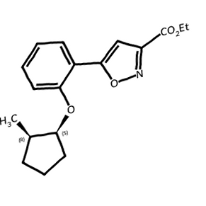 CCOC(=O)c1cc(-c2ccccc2O[C@H]2CCC[C@H]2C)on1